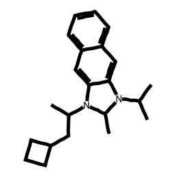 CC(C)N1c2cc3ccccc3cc2N(C(C)CC2CCC2)C1C